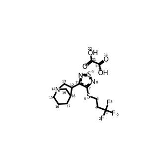 FC(F)(F)CCSc1nsnc1C1CN2CCCC1C2.O=C(O)C(=O)O